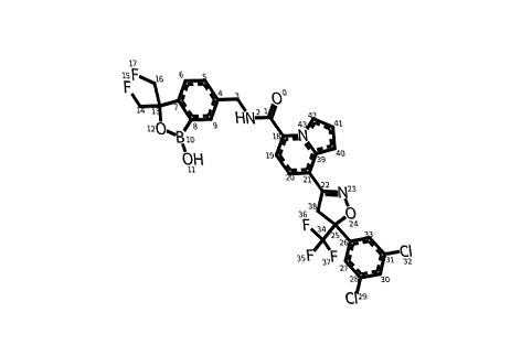 O=C(NCc1ccc2c(c1)B(O)OC2(CF)CF)c1ccc(C2=NOC(c3cc(Cl)cc(Cl)c3)(C(F)(F)F)C2)c2cccn12